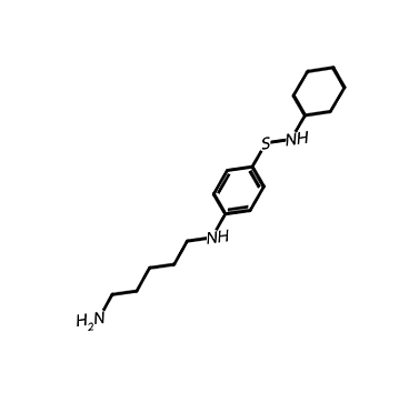 NCCCCCNc1ccc(SNC2CCCCC2)cc1